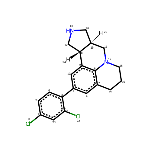 Clc1ccc(-c2cc3c4c(c2)[C@@H]2CNC[C@H]2CN4CCC3)c(Cl)c1